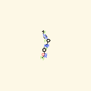 Fc1cc(-c2nnc(C(F)F)o2)ccc1Cn1cc(-c2cccc(N3CCN(CC4(F)CC4)CC3)c2F)nn1